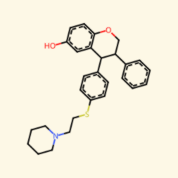 Oc1ccc2c(c1)C(c1ccc(SCCN3CCCCC3)cc1)C(c1ccccc1)CO2